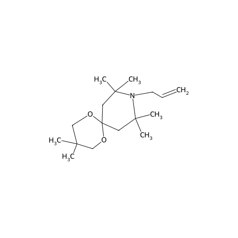 C=CCN1C(C)(C)CC2(CC1(C)C)OCC(C)(C)CO2